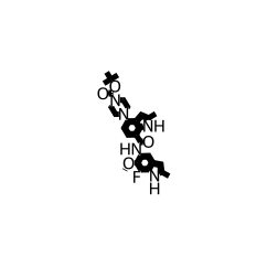 COc1c(NC(=O)c2ccc(N3CCN(C(=O)OC(C)(C)C)CC3)c3cc(C)[nH]c23)cc2cc(C)[nH]c2c1F